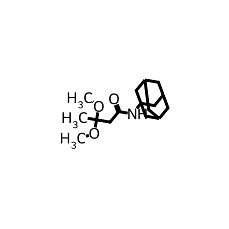 COC(C)(CC(=O)NC12CC3CC(CC(C3)C1)C2)OC